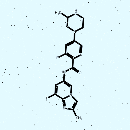 Cc1cn2cc(NC(=O)c3ncc(N4CCNC(C)C4)cc3F)cc(F)c2n1